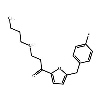 CCCCNCCC(=O)c1ccc(Cc2ccc(F)cc2)o1